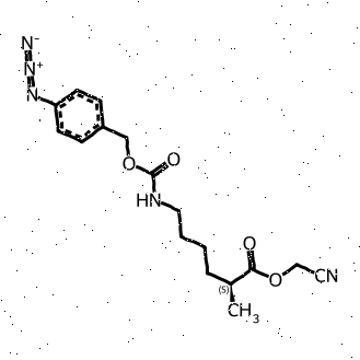 C[C@@H](CCCCNC(=O)OCc1ccc(N=[N+]=[N-])cc1)C(=O)OCC#N